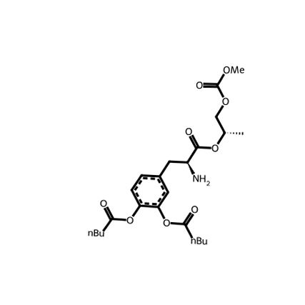 CCCCC(=O)Oc1ccc(C[C@H](N)C(=O)O[C@@H](C)COC(=O)OC)cc1OC(=O)CCCC